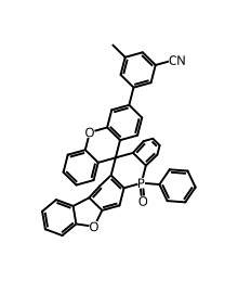 Cc1cc(C#N)cc(-c2ccc3c(c2)Oc2ccccc2C32c3ccccc3P(=O)(c3ccccc3)c3cc4oc5ccccc5c4cc32)c1